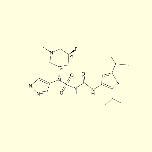 CC(C)c1cc(NC(=O)NS(=O)(=O)N(c2cnn(C)c2)[C@H]2C[C@H](F)CN(C)C2)c(C(C)C)s1